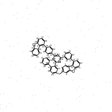 Cc1ccc2c(c1)oc1cccc(-c3cccc(-c4nc(-c5ccc(-c6cccc7oc8ccccc8c67)cc5)nc(-c5ccccc5-c5ccccc5)n4)c3)c12